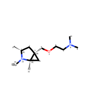 C[C@@H]1C[C@@]2(COCCN(C)C)C[C@H]2N1C(C)(C)C